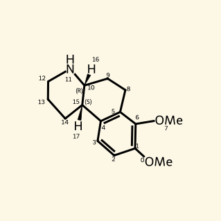 COc1ccc2c(c1OC)CC[C@H]1NCCC[C@@H]21